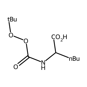 CCCCC(NC(=O)OOC(C)(C)C)C(=O)O